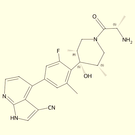 Cc1cc(-c2ccnc3[nH]cc(C#N)c23)cc(F)c1[C@@]1(O)[C@H](C)CN(C(=O)[C@H](C)N)C[C@@H]1C